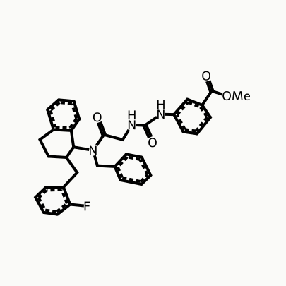 COC(=O)c1cccc(NC(=O)NCC(=O)N(Cc2ccccc2)C2c3ccccc3CCC2Cc2ccccc2F)c1